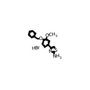 Br.COc1cc(-c2csc(N)n2)ccc1OCc1ccccc1